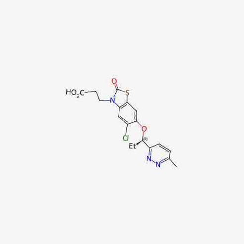 CC[C@@H](Oc1cc2sc(=O)n(CCC(=O)O)c2cc1Cl)c1ccc(C)nn1